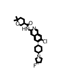 CC1(C)CCC(C(=O)Nc2cc3cc([C@H]4CC[C@H](N5CC[C@H](F)C5)CC4)c(Cl)cc3cn2)CO1